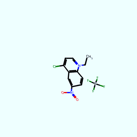 CC[n+]1ccc(Cl)c2cc([N+](=O)[O-])ccc21.F[B-](F)(F)F